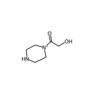 O=C(CO)[N+]1CCNCC1